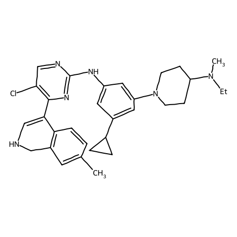 CCN(C)C1CCN(c2cc(Nc3ncc(Cl)c(C4=CNCc5cc(C)ccc54)n3)cc(C3CC3)c2)CC1